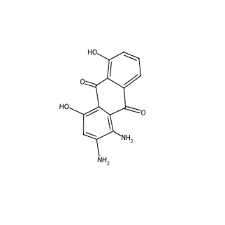 Nc1cc(O)c2c(c1N)C(=O)c1cccc(O)c1C2=O